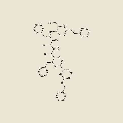 CC(C)C[C@H](NC(=O)OCc1ccccc1)C(=O)N[C@@H](Cc1ccccc1)C(=O)C(Br)C(=O)C(Br)C(=O)[C@H](Cc1ccccc1)NC(=O)[C@H](CC(C)C)NC(=O)OCc1ccccc1